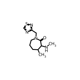 CNC1C(=O)N(Cc2ncsn2)CCCC1C